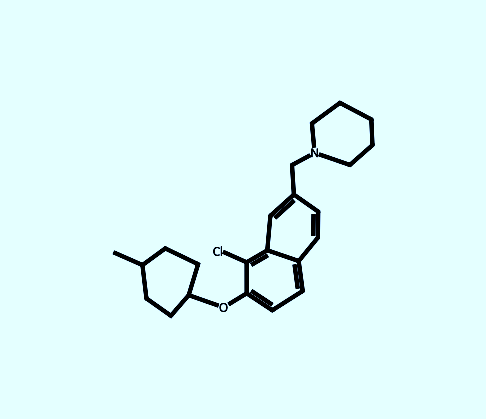 CC1CCC(Oc2ccc3ccc(CN4CCCCC4)cc3c2Cl)CC1